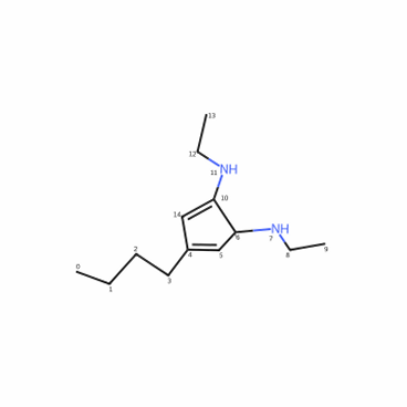 CCCCC1=C[C](NCC)C(NCC)=C1